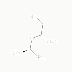 CC(C)C[C@H](C=O)O[C@@H](N)C=O